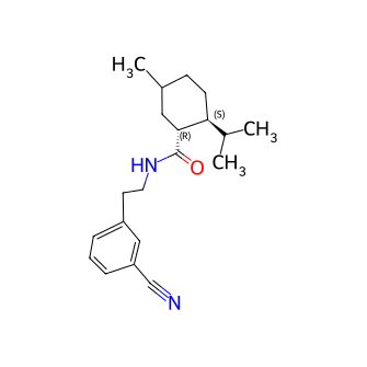 CC1CC[C@@H](C(C)C)[C@H](C(=O)NCCc2cccc(C#N)c2)C1